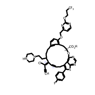 C#C/C(Cl)=C1\C=C/Cc2c(-c3ccc(F)cc3)sc3ncnc(c23)O[C@@H](C(=O)O)Cc2cc(ccc2OCc2ccnc(OCCC(F)(F)F)n2)CCC1CCN1CCNCC1